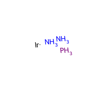 N.N.P.[Ir]